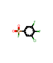 O=S(=O)(F)c1cc(F)c(F)c(Cl)c1